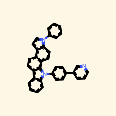 c1ccc(-n2ccc3c4ccc5c6ccccc6n(-c6ccc(-c7cccnc7)cc6)c5c4ccc32)cc1